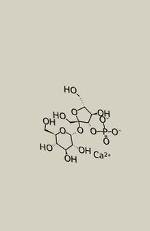 O=P([O-])([O-])O[C@H]1[C@H](O)[C@@H](CO)O[C@@]1(CO)O[C@H]1O[C@H](CO)[C@@H](O)[C@H](O)[C@H]1O.[Ca+2]